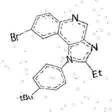 CCc1nc2cnc3ccc(Br)cc3c2n1-c1ccc(C(C)(C)C)cc1